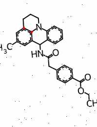 CCOC(=O)c1ccc(CC(=O)NC(c2cccc(C)c2)c2ccccc2N2CCCCC2)cc1